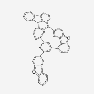 c1ccc(-c2cc(-c3ccc4oc5ccccc5c4c3)cc(-c3cccc4oc5ccc(-c6ccc7c8c(cccc68)-c6ccccc6-7)cc5c34)c2)cc1